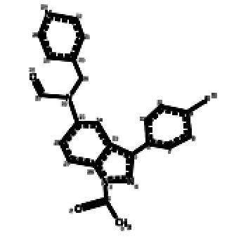 CC(=O)n1nc(-c2ccc(F)cc2)c2cc(N(C=O)Cc3ccncc3)ccc21